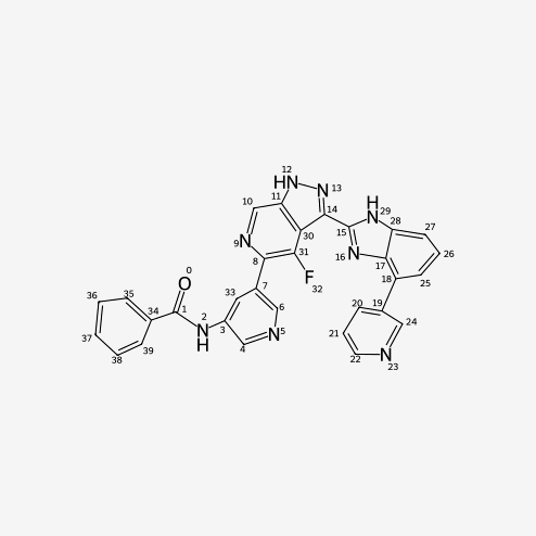 O=C(Nc1cncc(-c2ncc3[nH]nc(-c4nc5c(-c6cccnc6)cccc5[nH]4)c3c2F)c1)c1ccccc1